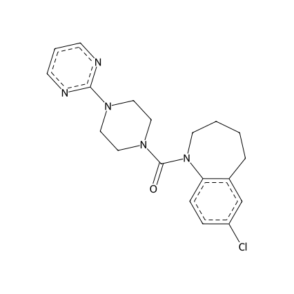 O=C(N1CCN(c2ncccn2)CC1)N1CCCCc2cc(Cl)ccc21